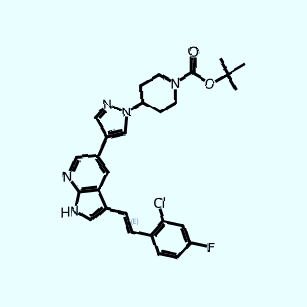 CC(C)(C)OC(=O)N1CCC(n2cc(-c3cnc4[nH]cc(/C=C/c5ccc(F)cc5Cl)c4c3)cn2)CC1